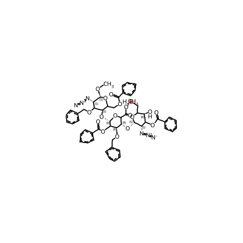 CCC1O[C@@H](O[C@H]2C(C(=O)OC)O[C@@H](O[C@@H]3C(COC(=O)c4ccccc4)O[C@H](OC)[C@@H](N=[N+]=[N-])C3OCc3ccccc3)C(OC(=O)c3ccccc3)[C@@H]2OCc2ccccc2)[C@@H](N=[N+]=[N-])C(OC(=O)c2ccccc2)[C@@H]1O